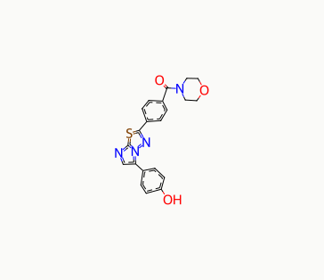 O=C(c1ccc(-c2nn3c(-c4ccc(O)cc4)cnc3s2)cc1)N1CCOCC1